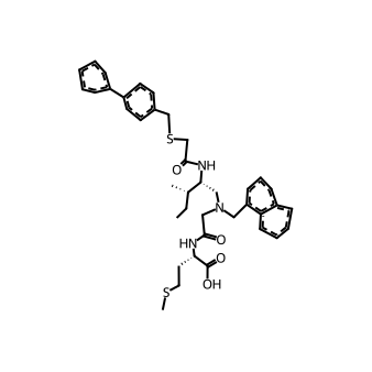 CC[C@H](C)[C@@H](CN(CC(=O)N[C@@H](CCSC)C(=O)O)Cc1cccc2ccccc12)NC(=O)CSCc1ccc(-c2ccccc2)cc1